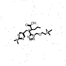 CCCC(C(=O)O)[C@H](Cc1cnc(N(C)C)nc1)c1nnnn1COCC[Si](C)(C)C